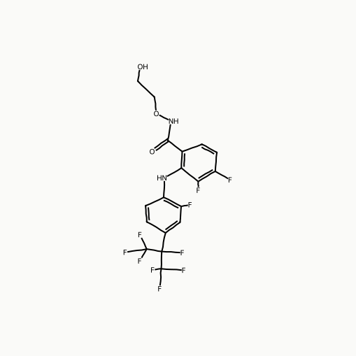 O=C(NOCCO)c1ccc(F)c(F)c1Nc1ccc(C(F)(C(F)(F)F)C(F)(F)F)cc1F